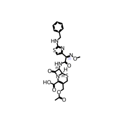 CO/N=C(\C(=O)N[C@@H]1C(=O)N2C(C(=O)O)=C(COC(C)=O)CS[C@H]12)c1csc(NCc2ccccc2)n1